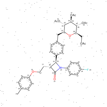 CC(=O)OC[C@H]1O[C@@H](Cc2ccc([C@@H]3[C@@H](CCOc4ccc(C)cc4)C(=O)N3c3ccc(F)cc3)cc2)[C@H](OC(C)=O)[C@@H](OC(C)=O)[C@@H]1OC(C)=O